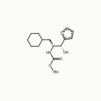 CC(C)(C)OC(=O)N[C@@H](CC1CCCCC1)[C@@H](O)c1cccs1